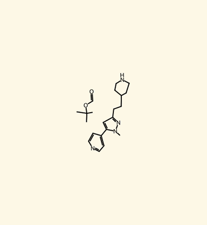 CC(C)(C)OC=O.Cn1nc(CCC2CCNCC2)cc1-c1ccncc1